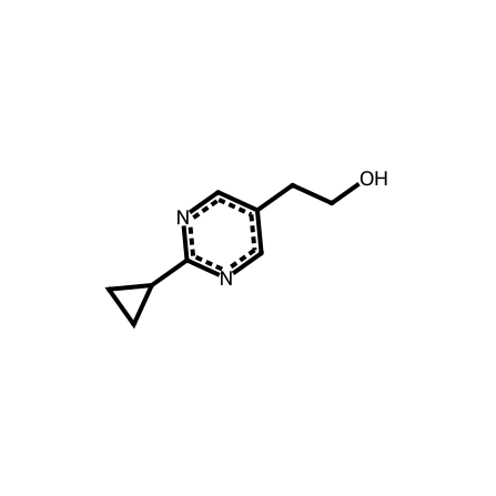 OCCc1cnc(C2CC2)nc1